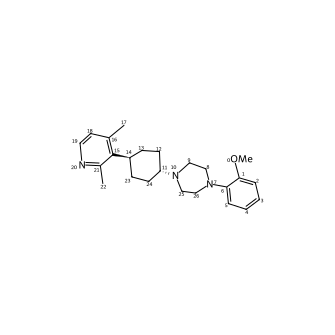 COc1ccccc1N1CCN([C@H]2CC[C@H](c3c(C)ccnc3C)CC2)CC1